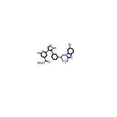 COC(=O)c1cc(C)nc(-c2cnn(C)c2-c2cccc(C(C)Cn3c(N)nc4ccc(Br)cc43)c2)c1